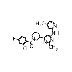 Cc1ccnc(Nc2cc(C3CCCN(C(=O)c4ccc(F)cc4Cl)C3)nc(C)n2)c1